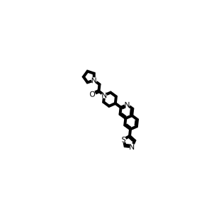 O=C(CN1CCCC1)N1CCC(c2cc3cc(-c4cncs4)ccc3cn2)CC1